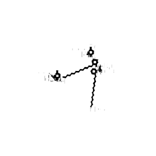 CCCCCCCCCCCCCCCCCCCCC=CCCc1ccccc1N=C(CCCC)C(CCCC)=Nc1ccccc1CCC=CCCCCCCCCCCCCCCCCCCCC.CCc1ccc(O)c(O)c1C(=O)[O-].CCc1ccc(O)c(O)c1C(=O)[O-].[Ni+2]